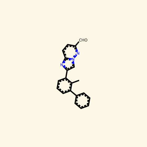 Cc1c(-c2ccccc2)cccc1-c1cn2nc(C=O)ccc2n1